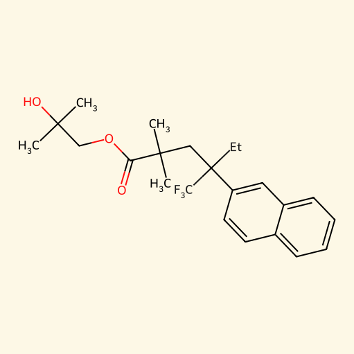 CCC(CC(C)(C)C(=O)OCC(C)(C)O)(c1ccc2ccccc2c1)C(F)(F)F